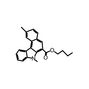 CCCCOC(=O)c1cc2ccc(C)cc2c2c3ccccc3n(C)c12